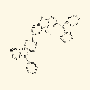 CC12C=C(n3c4ccccc4c4ccccc43)C=CC1Oc1ccc(-c3ccc4c(c3)c3ccccc3n4-c3ccccc3)cc12